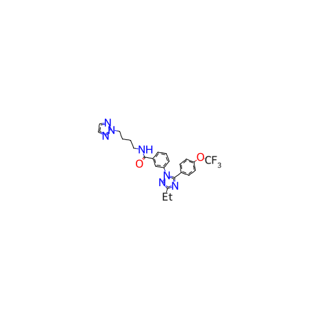 CCc1nc(-c2ccc(OC(F)(F)F)cc2)n(-c2cccc(C(=O)NCCCCn3nccn3)c2)n1